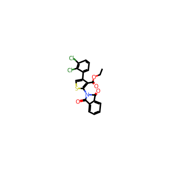 CCOC(=O)c1c(-c2cccc(Cl)c2Cl)csc1N1C(=O)c2ccccc2C1=O